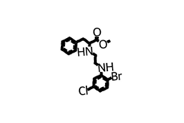 COC(=O)C(Cc1ccccc1)NCCNc1cc(Cl)ccc1Br